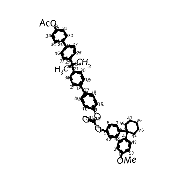 COc1ccc(C2(c3ccc(OC(=O)Oc4ccc(-c5ccc(C(C)(C)c6ccc(-c7ccc(OC(C)=O)cc7)cc6)cc5)cc4)cc3)CCCCC2)cc1